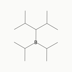 CC(C)B(C(C)C)C(C(C)C)C(C)C